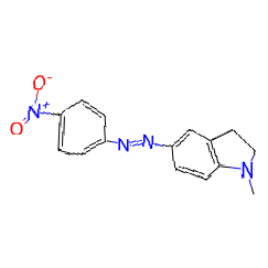 CN1CCc2cc(/N=N/c3ccc([N+](=O)[O-])cc3)ccc21